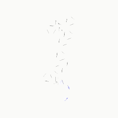 C/C=C\C/C=C\C=C\P(=O)(c1ccccc1)c1ccc2c(ccc3cc(-c4ccc5c(ccc6c7ccccc7c7nc8ccccc8n7c56)c4)ccc32)c1